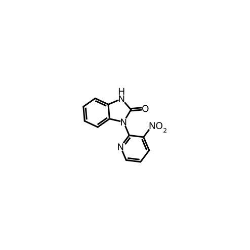 O=c1[nH]c2ccccc2n1-c1ncccc1[N+](=O)[O-]